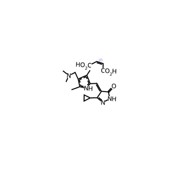 Cc1[nH]c(C=C2C(=O)NN=C2C2CC2)c(C)c1CN(C)C.O=C(O)/C=C\C(=O)O